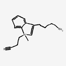 C[N+]1(CCC#N)C=C(CCCN)c2ccccc21